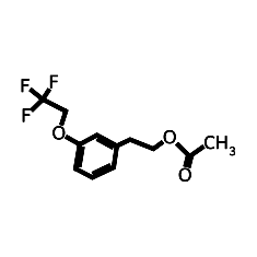 CC(=O)OCCc1cccc(OCC(F)(F)F)c1